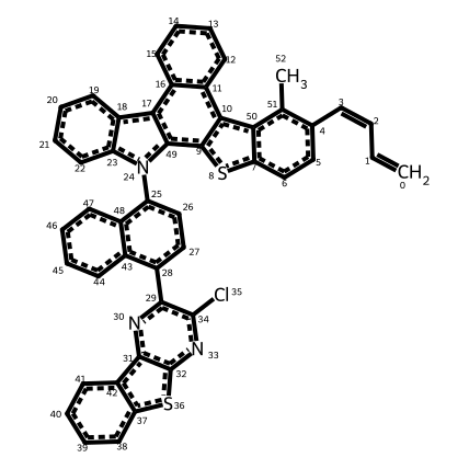 C=C/C=C\c1ccc2sc3c(c4ccccc4c4c5ccccc5n(-c5ccc(-c6nc7c(nc6Cl)sc6ccccc67)c6ccccc56)c34)c2c1C